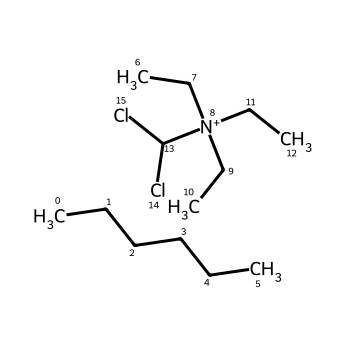 CCCCCC.CC[N+](CC)(CC)C(Cl)Cl